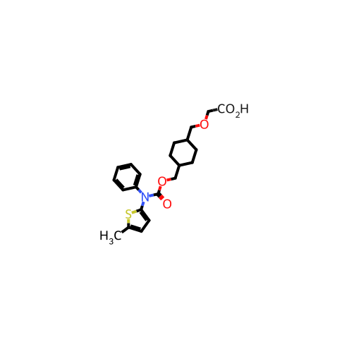 Cc1ccc(N(C(=O)OCC2CCC(COCC(=O)O)CC2)c2ccccc2)s1